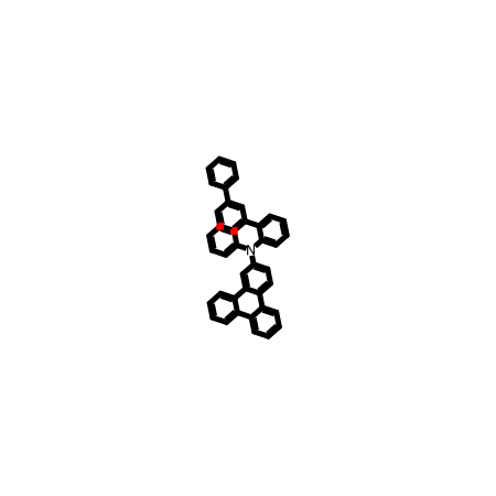 c1ccc(-c2cccc(-c3ccccc3N(c3ccccc3)c3ccc4c5ccccc5c5ccccc5c4c3)c2)cc1